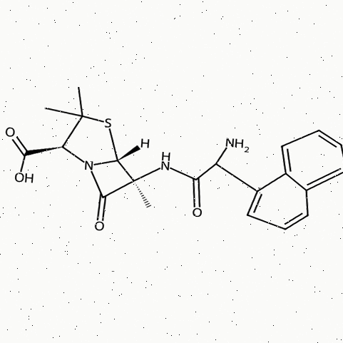 CC1(C)S[C@H]2N(C(=O)[C@]2(C)NC(=O)C(N)c2cccc3ccccc23)[C@H]1C(=O)O